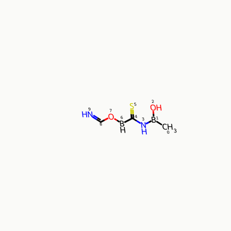 CB(O)NC(=S)BOC=N